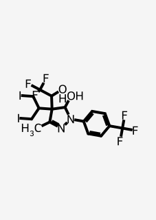 CC1=NN(c2ccc(C(F)(F)F)cc2)C(O)C1(C(CI)CI)C(O)C(F)(F)F